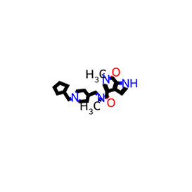 CN(CC1CCN(CC2CCCC2)CC1)C(=O)c1cn(C)c(=O)c2[nH]ccc12